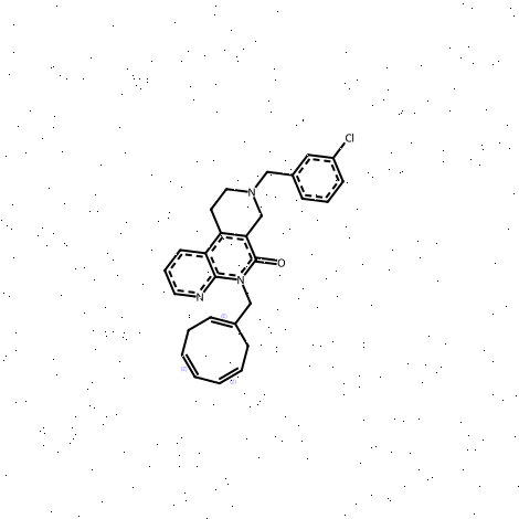 O=c1c2c(c3cccnc3n1C/C1=C/C/C=C\C=C/C1)CCN(Cc1cccc(Cl)c1)C2